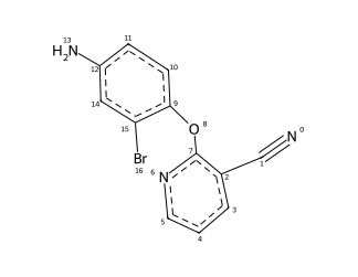 N#Cc1cccnc1Oc1ccc(N)cc1Br